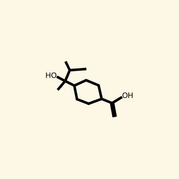 C=C(O)C1CCC(C(C)(O)C(C)C)CC1